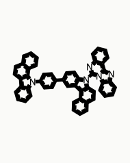 c1ccc2c(c1)ccc1c2c2cc(-c3ccc(-n4c5ccccc5c5ccc6ccccc6c54)cc3)ccc2n1-c1nc2ccccc2c2nc3ccccc3n12